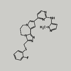 Cn1nccc1Nc1nccc(-c2cc3n(c2)CCCn2c(CSc4ccccc4F)nnc2-3)n1